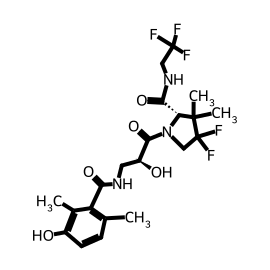 Cc1ccc(O)c(C)c1C(=O)NC[C@H](O)C(=O)N1CC(F)(F)C(C)(C)[C@H]1C(=O)NCC(F)(F)F